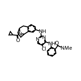 CNC(=O)c1ccccc1Nc1nc(Nc2ccc3c(c2)C2CCC(C3)N2C(=O)C2CC2)ncc1Cl